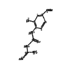 CCc1cc(OC)ccc1NC(=S)NC(=N)N